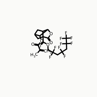 C=C(C)C(=O)OC1C2CC3C1OC(=O)C3(C(=O)OCC(F)(F)CC(F)(F)CC(F)(F)C(F)(F)F)C2